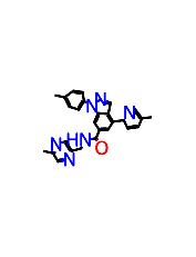 Cc1ccc(-n2ncc3c(-c4ccc(C)cn4)cc(C(=O)NCc4cnc(C)cn4)cc32)cc1